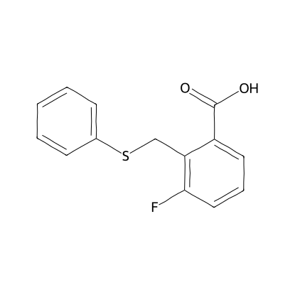 O=C(O)c1cccc(F)c1CSc1ccccc1